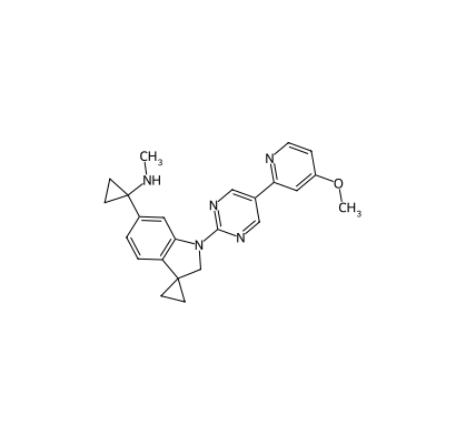 CNC1(c2ccc3c(c2)N(c2ncc(-c4cc(OC)ccn4)cn2)CC32CC2)CC1